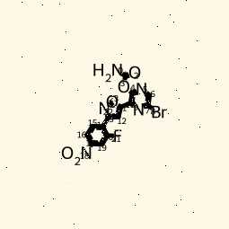 NC(=O)Oc1ncc(Br)nc1-c1cc(-c2ccc([N+](=O)[O-])cc2F)no1